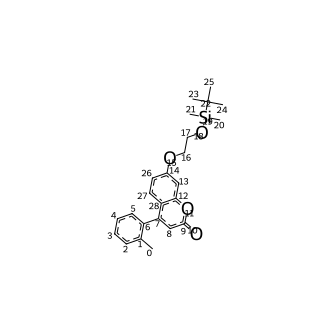 Cc1ccccc1-c1cc(=O)oc2cc(OCCO[Si](C)(C)C(C)(C)C)ccc12